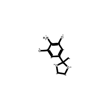 CC1(c2cc(Cl)c(N)c(Cl)c2)OCCO1